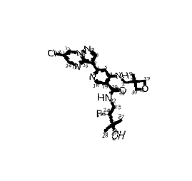 CC1(CNc2cc(-c3cnn4cc(Cl)cnc34)ncc2C(=O)NC[C@@H](F)C(C)(C)O)COC1